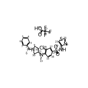 C[C@H](c1ccccc1)N1CCC(N(C)c2ccc(S(=O)(=O)Nc3cscn3)cc2Cl)C1.O=C(O)C(F)(F)F